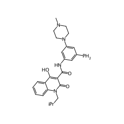 CC(C)Cn1c(=O)c(C(=O)Nc2cc(P)cc(N3CCN(C)CC3)c2)c(O)c2ccccc21